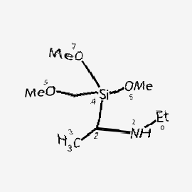 CCNC(C)[Si](OC)(OC)OC